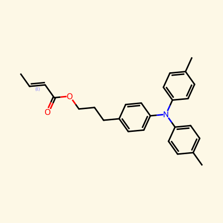 C/C=C/C(=O)OCCCc1ccc(N(c2ccc(C)cc2)c2ccc(C)cc2)cc1